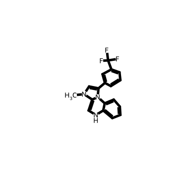 CN1C=C(c2cccc(C(F)(F)F)c2)N2C1=CNc1ccccc12